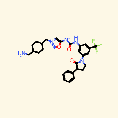 NCC1CCC(C[n+]2cc([N-]C(=O)Nc3cc(N4CCC(c5ccccc5)C4=O)cc(C(F)(F)F)c3)on2)CC1